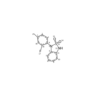 Cc1ccc(N2c3ccccc3NS2(=O)=O)c(F)c1